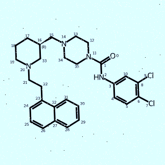 O=C(Nc1ccc(Cl)c(Cl)c1)N1CCN(C[C@@H]2CCCN(CCc3cccc4ccccc34)C2)CC1